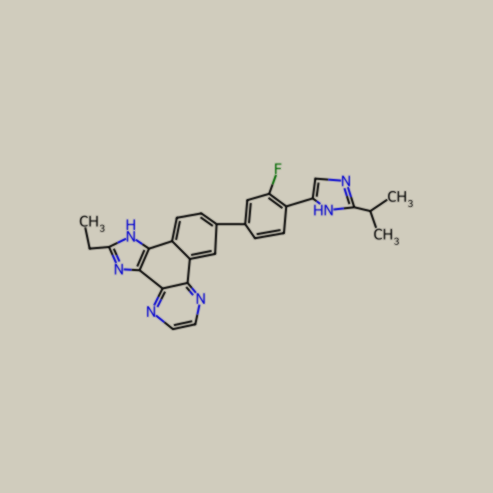 CCc1nc2c3nccnc3c3cc(-c4ccc(-c5cnc(C(C)C)[nH]5)c(F)c4)ccc3c2[nH]1